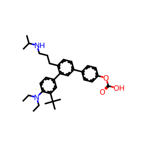 CCN(CC)c1ccc(-c2cc(-c3ccc(OC(=O)O)cc3)ccc2CCCNC(C)C)cc1C(C)(C)C